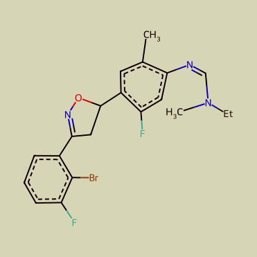 CCN(C)/C=N\c1cc(F)c(C2CC(c3cccc(F)c3Br)=NO2)cc1C